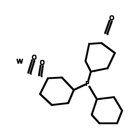 C1CCC(P(C2CCCCC2)C2CCCCC2)CC1.[C]=O.[C]=O.[C]=O.[W]